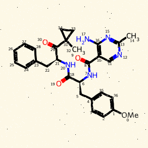 COc1ccc(C[C@H](NC(=O)c2cnc(C)nc2N)C(=O)N[C@@H](Cc2ccccc2)C(=O)C2(C)CC2)cc1